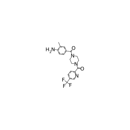 Cc1cc(C(=O)N2CCN(C(=O)c3ccc(C(F)(F)F)cn3)CC2)ccc1N